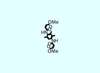 COC(=O)/C=C\C(=O)Nc1cc(C)c(NC(=O)/C=C\C(=O)OC)c(C)c1C